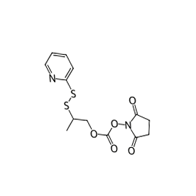 CC(COC(=O)ON1C(=O)CCC1=O)SSc1ccccn1